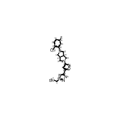 CC(C)(C)Cn1nnc(-c2cc(N3CC4CN(c5cc(F)ccc5Cl)CC4C3)no2)n1